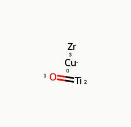 [Cu].[O]=[Ti].[Zr]